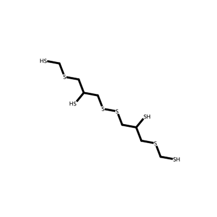 SCSCC(S)CSSCC(S)CSCS